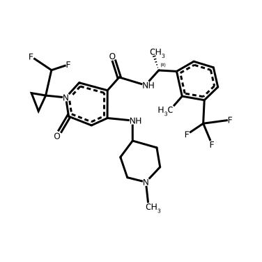 Cc1c([C@@H](C)NC(=O)c2cn(C3(C(F)F)CC3)c(=O)cc2NC2CCN(C)CC2)cccc1C(F)(F)F